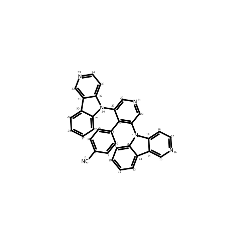 N#Cc1ccc(-c2c(-n3c4ccccc4c4cnccc43)cncc2-n2c3ccccc3c3cnccc32)cc1